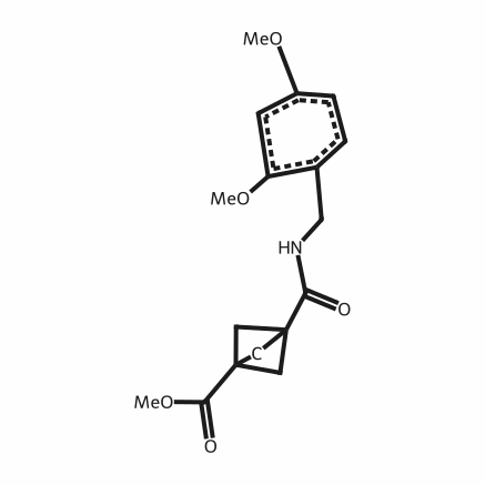 COC(=O)C12CC(C(=O)NCc3ccc(OC)cc3OC)(C1)C2